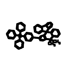 CC1(C)c2ccccc2C2(c3ccccc3-c3ccccc32)c2cc(-c3ccc([Si](c4ccccc4)(c4ccccc4)c4ccccc4)cc3)ccc21